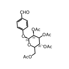 CC(=O)OCC1O[C@@H](Oc2ccc(C=O)cc2)[C@@H](OC(C)=O)C(OC(C)=O)[C@@H]1OC(C)=O